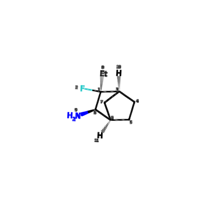 CC[C@]1(F)[C@H]2CC[C@H](C2)[C@H]1N